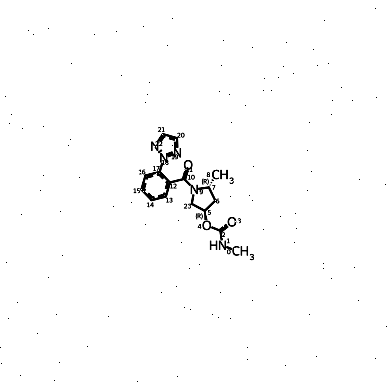 CNC(=O)O[C@@H]1C[C@@H](C)N(C(=O)c2ccccc2-n2nccn2)C1